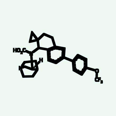 O=C(O)N(C1c2ccc(-c3ccc(OC(F)(F)F)cc3)cc2CCC12CC2)[C@@H]1CN2CCC1CC2